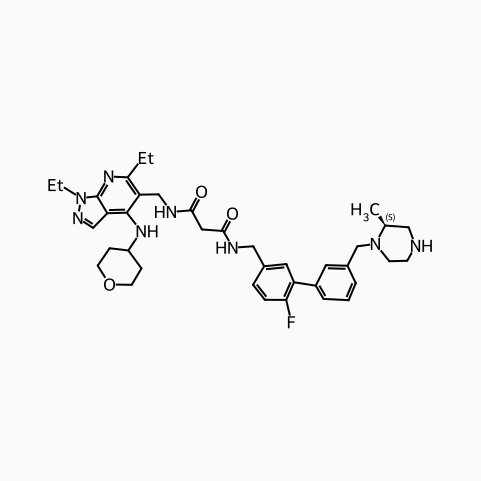 CCc1nc2c(cnn2CC)c(NC2CCOCC2)c1CNC(=O)CC(=O)NCc1ccc(F)c(-c2cccc(CN3CCNC[C@@H]3C)c2)c1